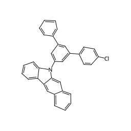 Clc1ccc(-c2cc(-c3ccccc3)cc(-n3c4ccccc4c4cc5ccccc5cc43)c2)cc1